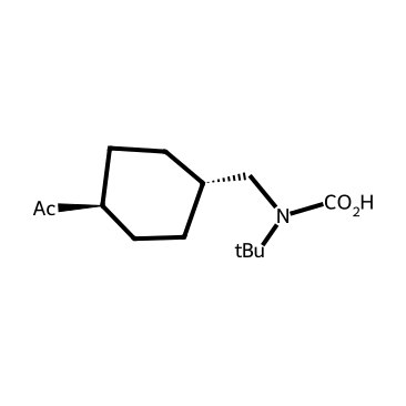 CC(=O)[C@H]1CC[C@H](CN(C(=O)O)C(C)(C)C)CC1